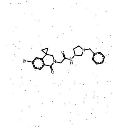 O=C(CN1CC2(CC2)c2cc(Br)ccc2C1=O)N[C@H]1CCN(Cc2ccccc2)C1